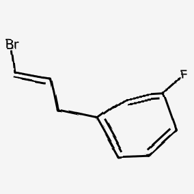 Fc1cccc(CC=CBr)c1